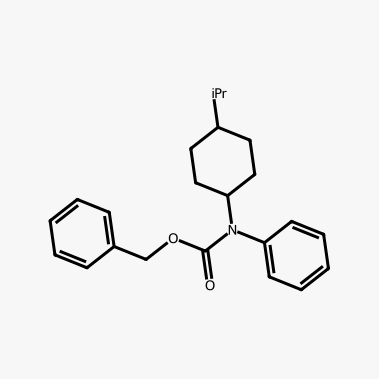 CC(C)C1CCC(N(C(=O)OCc2ccccc2)c2ccccc2)CC1